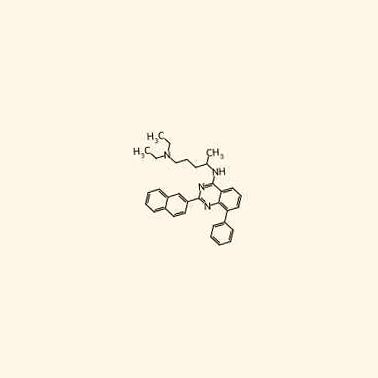 CCN(CC)CCCC(C)Nc1nc(-c2ccc3ccccc3c2)nc2c(-c3ccccc3)cccc12